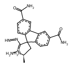 C[C@@H](N)CC1(/C(N=N)=N/N)c2ccc(C(N)=O)cc2-c2cc(C(N)=O)ccc21